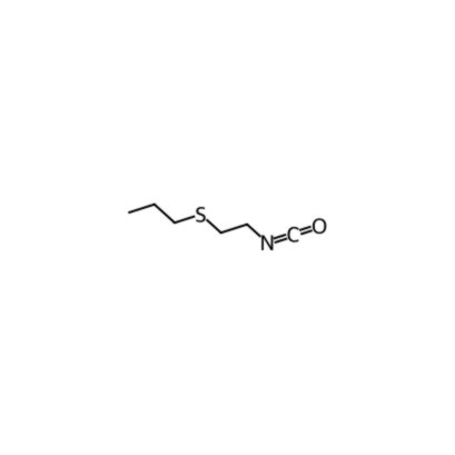 CCCSCCN=C=O